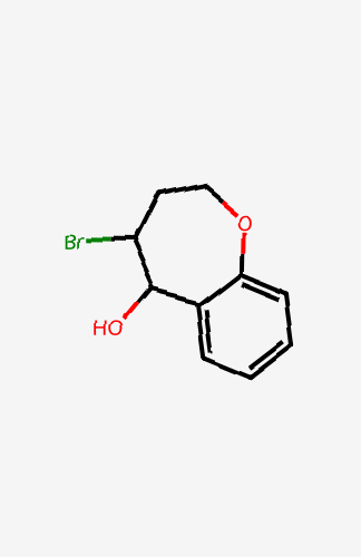 OC1c2ccccc2OCCC1Br